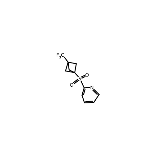 O=S(=O)(c1ccccn1)C12CC(C(F)(F)F)(C1)C2